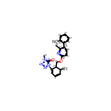 CCC1C=CC=C(n2nnn(C)c2=O)C1COc1ccc(-c2ccccc2C#N)c(C)n1